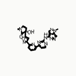 CN1CC[C@@](O)(c2cc(-c3cccc(-c4ccnc(Nc5nncc6c5cnn6C)n4)n3)no2)C1=O